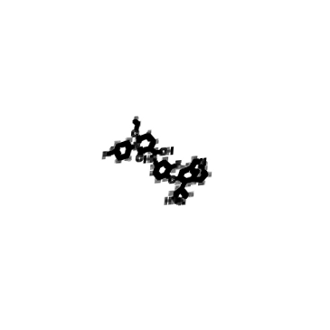 CCOc1ccc(C(O)Nc2ccc(Oc3cc4cnn5ccc(c3-c3cn[nH]c3)c45)c(F)c2)c(=O)n1-c1ccc(F)cc1